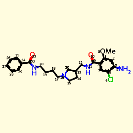 COc1cc(N)c(Cl)cc1C(=O)NCC1CCN(CCCCNC(=O)c2ccccc2)C1